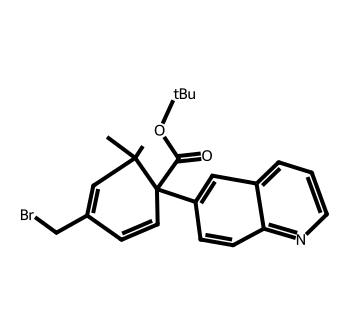 CC(C)(C)OC(=O)C1(c2ccc3ncccc3c2)C=CC(CBr)=CC1(C)C